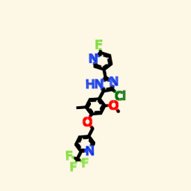 COc1cc(OCc2ccc(C(F)(F)F)nc2)c(C)cc1-c1[nH]c(-c2ccc(F)nc2)nc1Cl